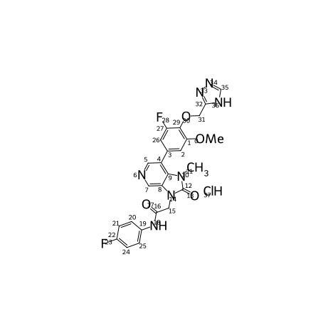 COc1cc(-c2cncc3c2n(C)c(=O)n3CC(=O)Nc2ccc(F)cc2)cc(F)c1OCc1nnc[nH]1.Cl